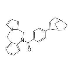 O=C(c1ccc(C2=CCC3CCC2C3)cc1)N1Cc2cccn2Cc2ccccc21